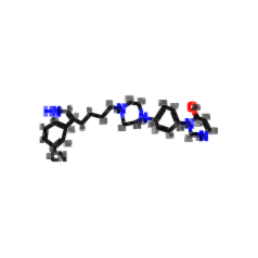 N#Cc1ccc2[nH]cc(CCCCN3CCN(c4ccc(-n5cnccc5=O)cc4)CC3)c2c1